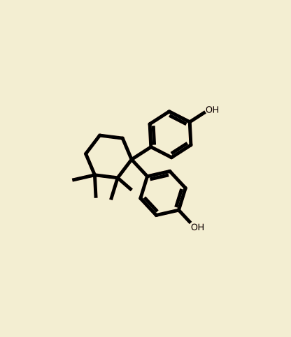 CC1(C)CCCC(c2ccc(O)cc2)(c2ccc(O)cc2)C1(C)C